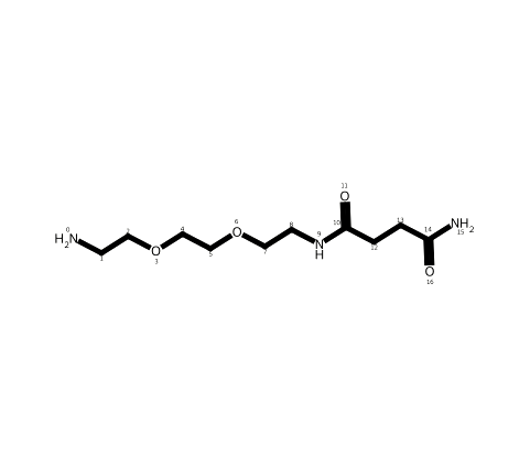 NCCOCCOCCNC(=O)CCC(N)=O